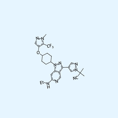 CCNc1cc2c(cn1)c(-c1cnn(C(C)(C)C#N)c1)nn2C1CCC(Oc2cnn(C)c2C(F)(F)F)CC1